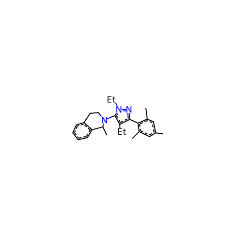 CCc1c(-c2c(C)cc(C)cc2C)nn(CC)c1N1CCc2ccccc2C1C